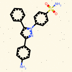 Nc1ccc(-c2cc(-c3ccccc3)n(-c3ccc(S(N)(=O)=O)cc3)n2)cc1